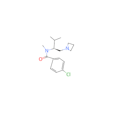 CC(C)[C@@H](CN1CCC1)N(C)C(=O)c1ccc(Cl)cc1